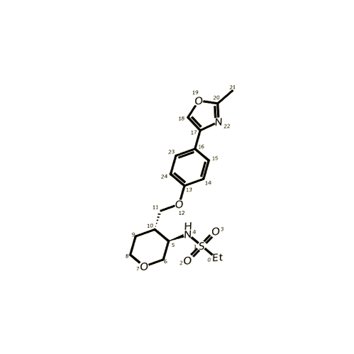 CCS(=O)(=O)N[C@H]1COCC[C@@H]1COc1ccc(-c2coc(C)n2)cc1